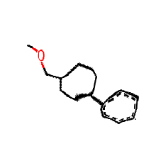 COCC1CCC(c2cc[c]cc2)CC1